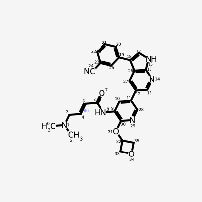 CN(C)C/C=C/C(=O)Nc1cc(-c2cnc3[nH]cc(-c4cccc(C#N)c4)c3c2)cnc1OC1COC1